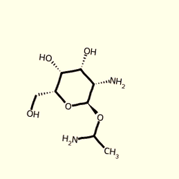 CC(N)O[C@H]1O[C@H](CO)[C@H](O)[C@H](O)[C@@H]1N